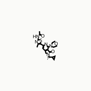 CC(=O)Nc1nc(C)c(-c2cc3c(c(N4CCOCC4)n2)C(=O)N([C@@H](C)C2CC2)C3)s1